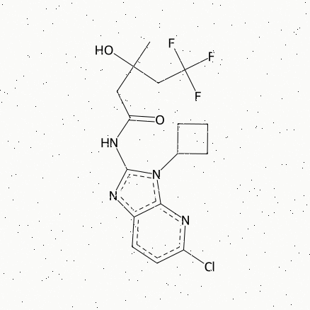 CC(O)(CC(=O)Nc1nc2ccc(Cl)nc2n1C1CCC1)CC(F)(F)F